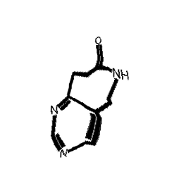 O=C1Cc2ncncc2CN1